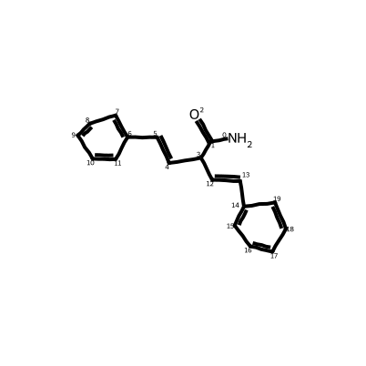 NC(=O)C(C=Cc1ccccc1)C=Cc1ccccc1